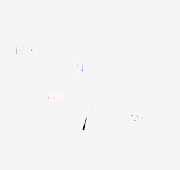 CSC[C@@H](C)C(=O)N1CSC[C@H]1C(=O)O